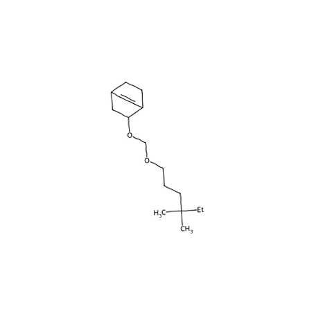 CCC(C)(C)CCCOCOC1CC2C=CC1CC2